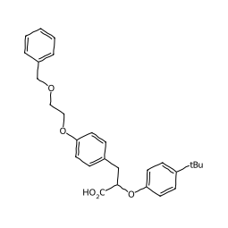 CC(C)(C)c1ccc(OC(Cc2ccc(OCCOCc3ccccc3)cc2)C(=O)O)cc1